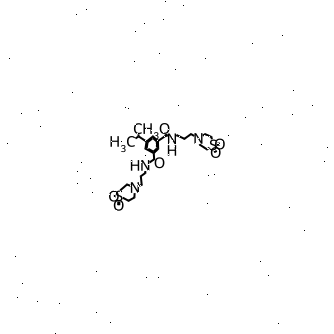 CC(C)c1cc(C(=O)NCCCN2CCS(=O)(=O)CC2)cc(C(=O)NCCCN2CCS(=O)(=O)CC2)c1